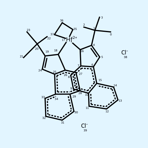 CC(C)(C)C1=Cc2c(ccc3ccccc23)[CH]1[Hf+2]1([CH]2C(C(C)(C)C)=Cc3c2ccc2ccccc32)[CH2]C[CH2]1.[Cl-].[Cl-]